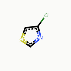 Clc1cs[c]n1